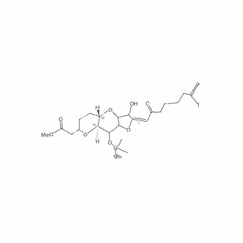 C=C(I)CCCCC(=O)/C=C1/OC2C(O[C@H]3CCC(CC(=O)OC)O[C@@H]3C2O[Si](C)(C)C(C)(C)C)C1O